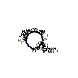 CC[C@@H]1/C=C/C=C/C[C@H](C)[C@@H](O)[C@](C)(O)C(=O)[C@H](C)[C@@H](O)[C@H](C)C(=O)[C@H](C)[C@@H](O)[C@H](C)/C=C/C(=O)O[C@H]2[C@@H](C)[C@@H](CC1)O[C@@]1(CCC[C@@H](C[C@H](C)O)O1)[C@@H]2CC